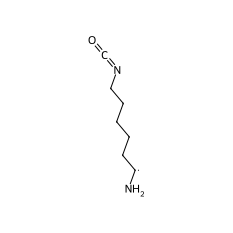 N[CH]CCCCCN=C=O